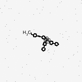 CCCc1ccc(C#Cc2ccc(OP(=O)(Oc3ccc(-c4ccccc4)cc3)Oc3ccc(-c4ccccc4)cc3)cc2)cc1